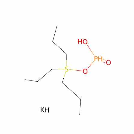 CCCS(CCC)(CCC)O[PH](=O)O.[KH]